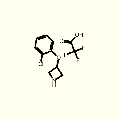 Clc1ccccc1OC1CNC1.O=C(O)C(F)(F)F